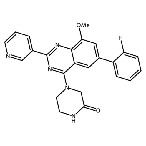 COc1cc(-c2ccccc2F)cc2c(N3CCNC(=O)C3)nc(-c3cccnc3)nc12